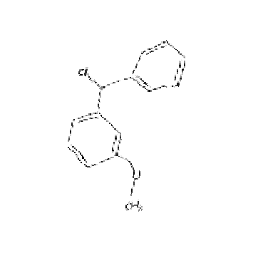 COc1cccc(C(Cl)c2ccccc2)c1